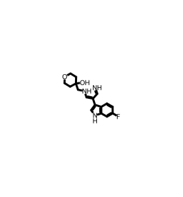 N=C/C(=C\NCC1(O)CCOCC1)c1c[nH]c2cc(F)ccc12